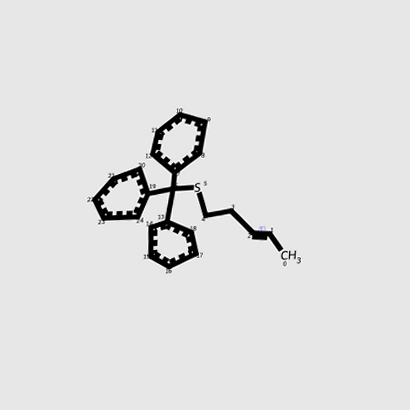 C/C=C/CCSC(c1ccccc1)(c1ccccc1)c1ccccc1